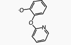 [O]c1ccccc1Oc1ccccn1